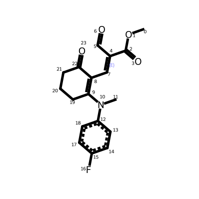 COC(=O)/C(C=O)=C/C1=C(N(C)c2ccc(F)cc2)CCCC1=O